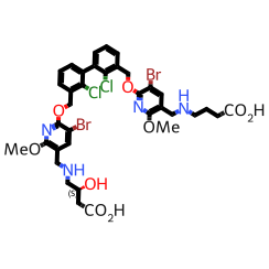 COc1nc(OCc2cccc(-c3cccc(COc4nc(OC)c(CNC[C@@H](O)CC(=O)O)cc4Br)c3Cl)c2Cl)c(Br)cc1CNCCCC(=O)O